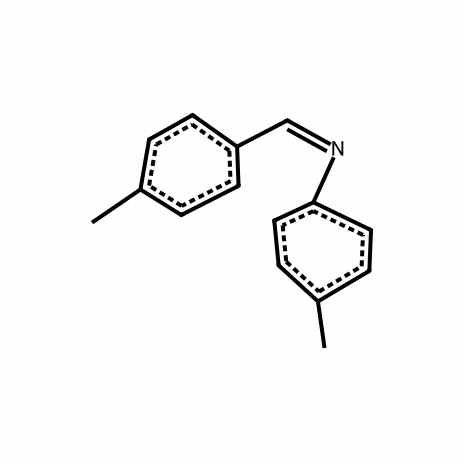 Cc1ccc(/C=N\c2ccc(C)cc2)cc1